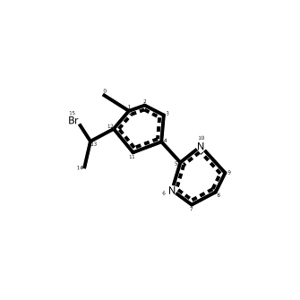 Cc1ccc(-c2ncccn2)cc1C(C)Br